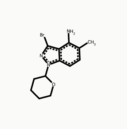 Cc1ccc2c(c(Br)nn2C2CCCCO2)c1N